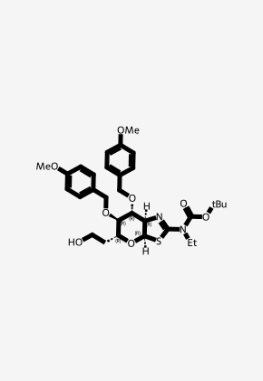 CCN(C(=O)OC(C)(C)C)C1=N[C@@H]2[C@@H](OCc3ccc(OC)cc3)[C@H](OCc3ccc(OC)cc3)[C@@H](CCO)O[C@@H]2S1